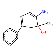 CC1(O)CC(c2ccccc2)=CC=C1N